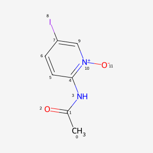 CC(=O)Nc1ccc(I)c[n+]1[O-]